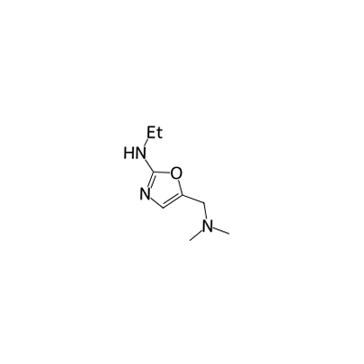 CCNc1ncc(CN(C)C)o1